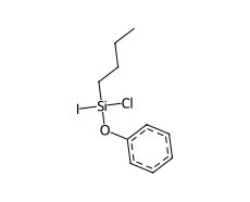 CCCC[Si](Cl)(I)Oc1ccccc1